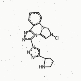 ClN1C=C2N(C1)c1ccccc1-c1nnc(-n3cc(C4CCCN4)nn3)n12